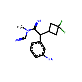 CN(C=N)C(=N)C(c1cccc(N)c1)C1CC(F)(F)C1